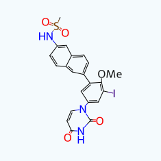 COc1c(I)cc(-n2ccc(=O)[nH]c2=O)cc1-c1ccc2cc(NS(C)(=O)=O)ccc2c1